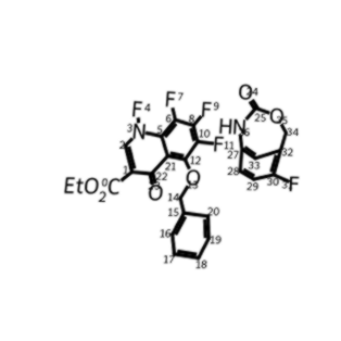 CCOC(=O)c1cn(F)c2c(F)c(F)c(F)c(OCc3ccccc3)c2c1=O.O=C1Nc2ccc(F)c(c2)CO1